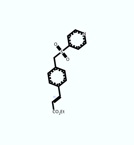 CCOC(=O)/C=C/c1ccc(CS(=O)(=O)c2ccncc2)cc1